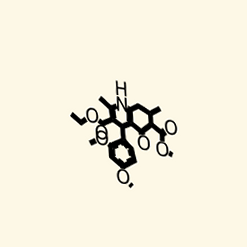 CCOC(=O)C1=C(C)NC2=C(C(=O)C(C(=O)OC)C(C)C2)C1c1ccc(OC)cc1OC